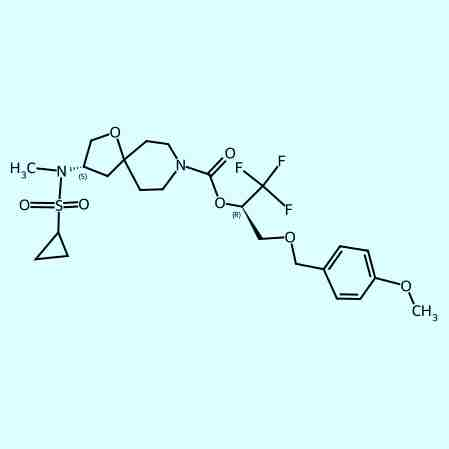 COc1ccc(COC[C@@H](OC(=O)N2CCC3(CC2)C[C@H](N(C)S(=O)(=O)C2CC2)CO3)C(F)(F)F)cc1